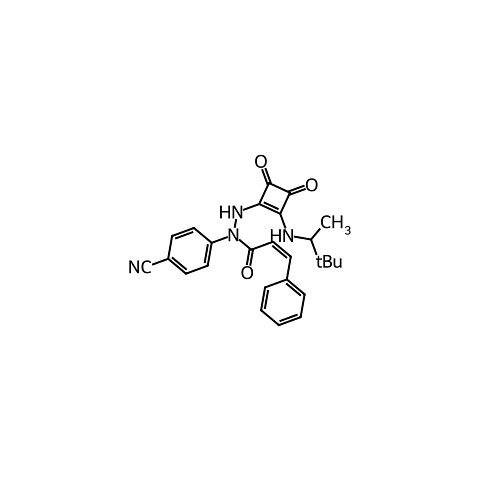 CC(Nc1c(NN(C(=O)C=Cc2ccccc2)c2ccc(C#N)cc2)c(=O)c1=O)C(C)(C)C